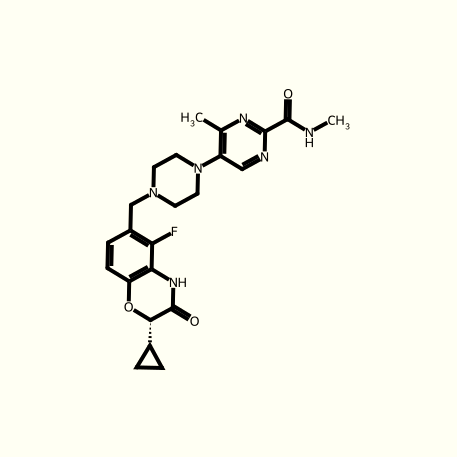 CNC(=O)c1ncc(N2CCN(Cc3ccc4c(c3F)NC(=O)[C@H](C3CC3)O4)CC2)c(C)n1